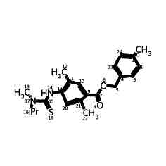 Cc1ccc(COC(=O)c2cc(C)c(NC(=S)N(C)C(C)C)cc2C)cc1